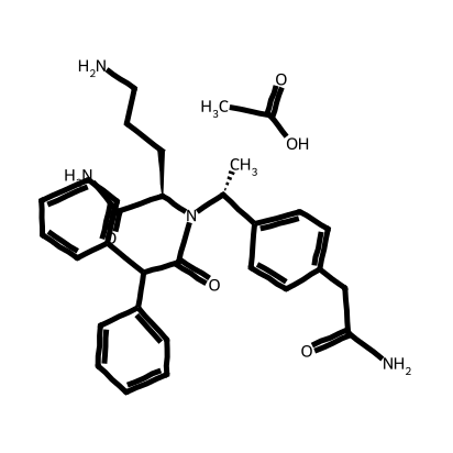 CC(=O)O.C[C@H](c1ccc(CC(N)=O)cc1)N(C(=O)C(c1ccccc1)c1ccccc1)[C@H](CCCN)C(N)=O